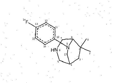 CC1(C)CC2CNCC1N(c1ccc(F)cc1)C2